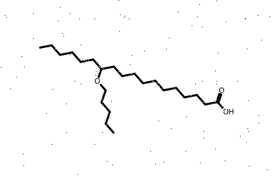 CCCCCCC(CCCCCCCCCCC(=O)O)OCCCCC